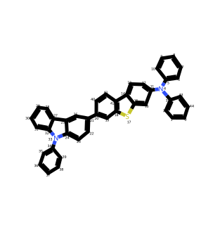 c1ccc(N(c2ccccc2)c2ccc3c(c2)sc2cc(-c4ccc5c(c4)c4ccccc4n5-c4ccccc4)ccc23)cc1